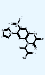 CC(C(=O)O)n1c(=O)c(=O)[nH]c2cc([N+](=O)[O-])c(-n3ccnc3)cc21